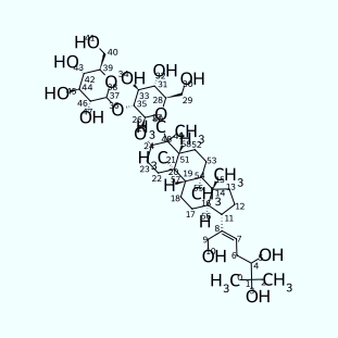 CC(C)(O)C(O)C/C=C(\CO)[C@H]1CC[C@]2(C)[C@@H]1CC[C@@H]1[C@@]3(C)CC[C@H](O[C@@H]4O[C@H](CO)[C@@H](O)[C@H](O)[C@H]4OC4O[C@H](CO)[C@@H](O)[C@H](O)[C@H]4O)C(C)(C)[C@@H]3CC[C@]12C